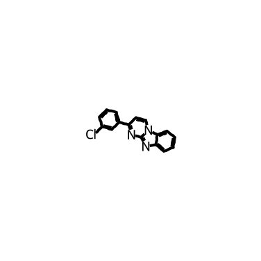 Clc1cccc(-c2ccn3c(n2)nc2ccccc23)c1